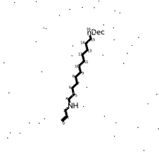 C=CCNCCCCCCCCCCCCCCCCCCCCCC